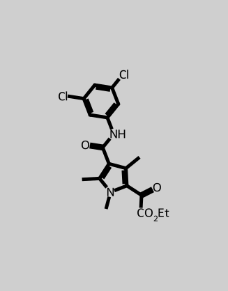 CCOC(=O)C(=O)c1c(C)c(C(=O)Nc2cc(Cl)cc(Cl)c2)c(C)n1C